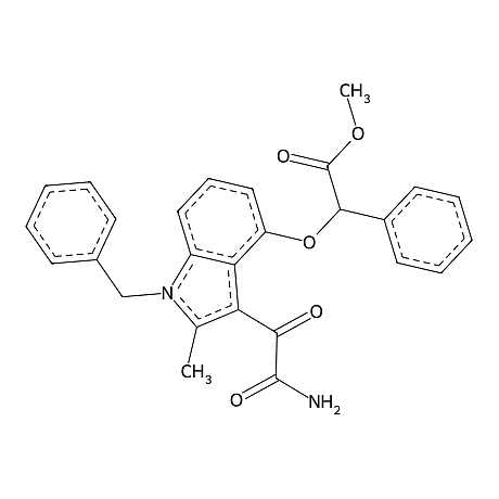 COC(=O)C(Oc1cccc2c1c(C(=O)C(N)=O)c(C)n2Cc1ccccc1)c1ccccc1